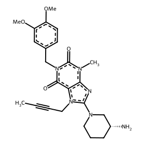 CC#CCn1c(N2CCC[C@@H](N)C2)nc2c1c(=O)n(Cc1ccc(OC)c(OC)c1)c(=O)n2C